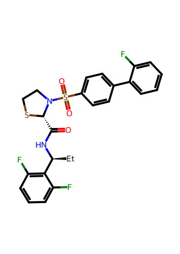 [CH2]C[C@H](NC(=O)[C@@H]1SCCN1S(=O)(=O)c1ccc(-c2ccccc2F)cc1)c1c(F)cccc1F